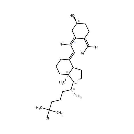 [2H]C([2H])=C1CC[C@H](O)C/C1=C(\[2H])C=C1CCC[C@@]2(C)C1CC[C@@H]2[C@H](C)CCCC(C)(C)O